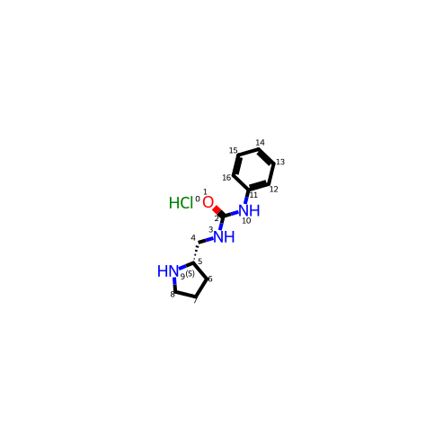 Cl.O=C(NC[C@@H]1CCCN1)Nc1ccccc1